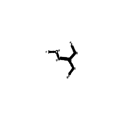 ICC(CI)=NOI